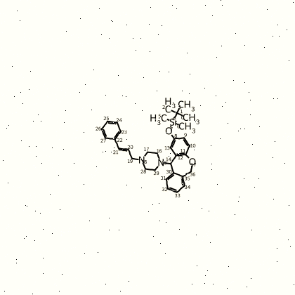 CC(C)(C)[Si](C)(C)Oc1ccc2c(c1)C(N1CCN(C/C=C/c3ccccc3)CC1)c1ccccc1CO2